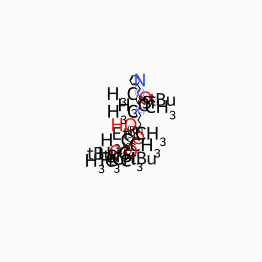 CC[C@H](C(=O)C(C)(C)[C@H](CCO[Si](C)(C)C(C)(C)C)O[Si](C)(C)C(C)(C)C)[C@H](O)[C@@H](C)CCC/C(C)=C/C[C@H](O[Si](C)(C)C(C)(C)C)/C(C)=C/c1ccccn1